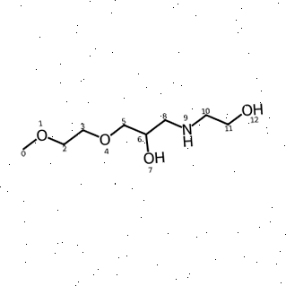 COCCOCC(O)CNCCO